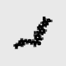 COc1ccc(-c2cnc3c(Nc4ccc(C(=O)N(C)CCOCCN5CCN(C6CC6)CC5)c(C)c4)nccn23)cc1F